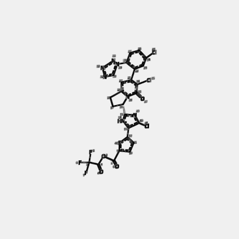 O=C(OC(=O)C(F)(F)F)c1ccc(-c2[nH]c([C@@H]3CCc4cc(-c5cc(Cl)ccc5-n5cnnn5)c(Cl)c(=O)n43)nc2Cl)s1